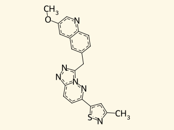 COc1cnc2ccc(Cc3nnc4ccc(-c5cc(C)ns5)nn34)cc2c1